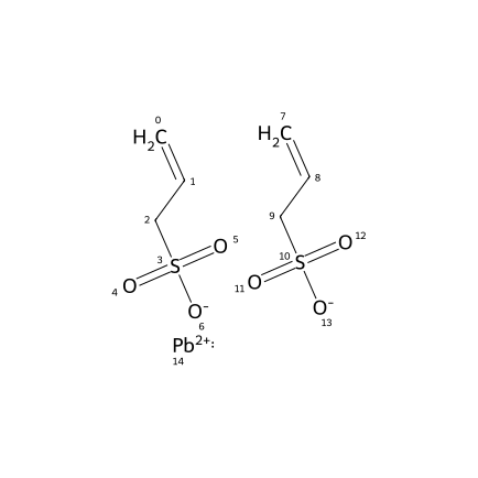 C=CCS(=O)(=O)[O-].C=CCS(=O)(=O)[O-].[Pb+2]